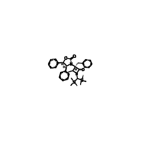 CC1N(C([Si](C)(C)C)[Si](C)(C)C)C(=O)[C@]1(Cc1ccccc1)N1C(=O)O[C@H](c2ccccc2)[C@@H]1c1ccccc1